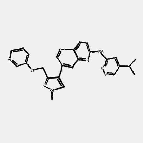 CC(C)c1cnnc(Nc2ccc3ncc(-c4cn(C)nc4COc4cccnc4)cc3n2)c1